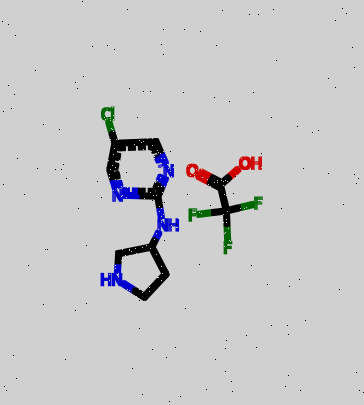 Clc1cnc(NC2CCNC2)nc1.O=C(O)C(F)(F)F